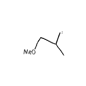 [CH]C(C)COC